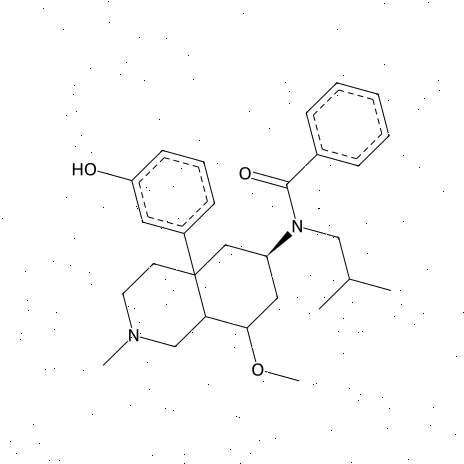 COC1C[C@H](N(CC(C)C)C(=O)c2ccccc2)CC2(c3cccc(O)c3)CCN(C)CC12